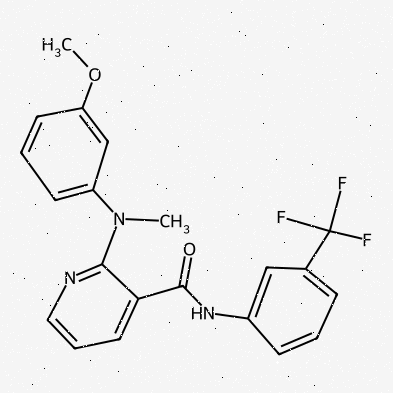 COc1cccc(N(C)c2ncccc2C(=O)Nc2cccc(C(F)(F)F)c2)c1